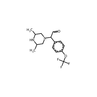 CC1CN(C(C=O)c2ccc(OC(F)(F)F)cc2)CC(C)N1